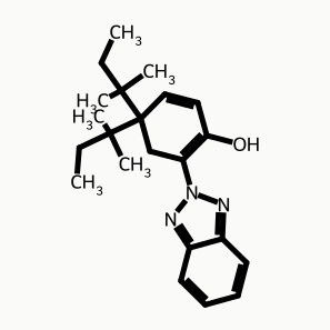 CCC(C)(C)C1(C(C)(C)CC)C=CC(O)=C(n2nc3ccccc3n2)C1